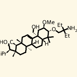 CCC(N)(CC)CO[C@H]1[C@H](OC)C[C@]2(CO)C3=CC[C@@]4(C)[C@H](C(=O)O)[C@@](C)([C@H](C)C(C)C)CC[C@]4(C)[C@H]3CC[C@H]2C1(C)C